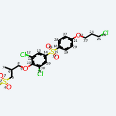 CCS(=O)(=O)CC(C)COc1c(Cl)cc(S(=O)(=O)c2ccc(OCCCCl)cc2)cc1Cl